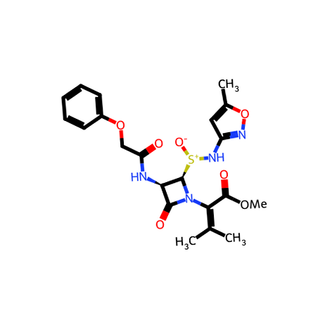 COC(=O)C(=C(C)C)N1C(=O)[C@@H](NC(=O)COc2ccccc2)[C@H]1[S+]([O-])Nc1cc(C)on1